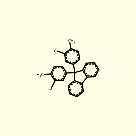 Cc1ccc(C2(c3ccc(C)c(Cl)c3)c3ccccc3-c3ccccc32)cc1Cl